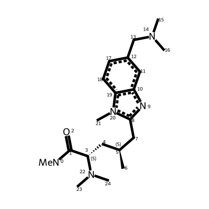 CNC(=O)[C@H](C[C@H](C)Cc1nc2cc(CN(C)C)ccc2n1C)N(C)C